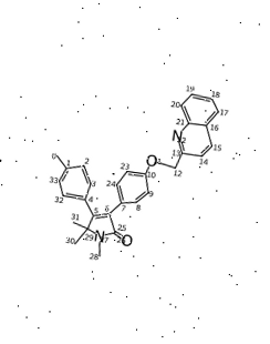 Cc1ccc(C2=C(c3ccc(OCc4ccc5ccccc5n4)cc3)C(=O)N(C)C2(C)C)cc1